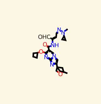 CN(/N=C\C=C(/C=O)NC(=O)c1cn2cc(C34COC(C)(C3)C4)nc2nc1OC1CCC1)C1CC1